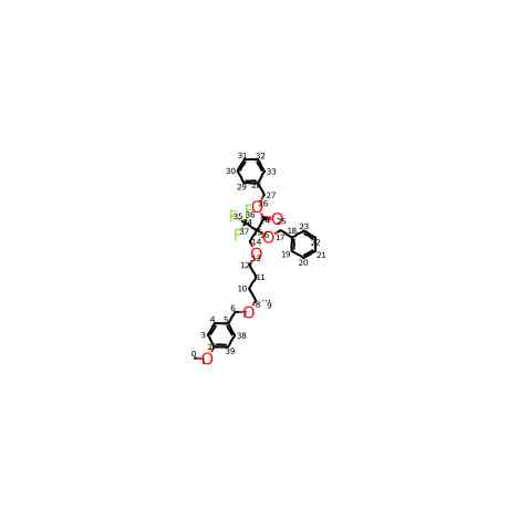 COc1ccc(CO[C@@H](C)CCCOCC(OCc2ccccc2)(C(=O)OCc2ccccc2)C(F)(F)F)cc1